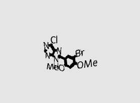 COc1cc(OC)c(-c2nc3c(Cl)ncnc3[nH]2)cc1Br